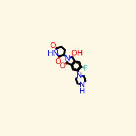 O=C1CCC(N2C(=O)c3cc(N4CCNCC4)c(F)cc3C2O)C(=O)N1